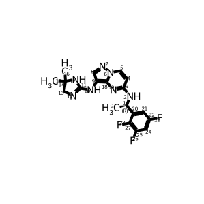 C[C@@H](Nc1ccn2ncc(NC3=NCC(C)(C)N3)c2n1)c1cc(F)cc(F)c1F